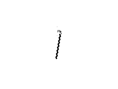 CCCCCCCCCCCCCCCC[S][Pb]